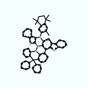 Cc1cc2c(cc1N1c3cc4c(oc5ccccc54)c4c3B(c3sc5ccccc5c31)N1c3ccccc3C(c3ccccc3)(c3ccccc3)c3cccc-4c31)C(C)(C)CCC2(C)C